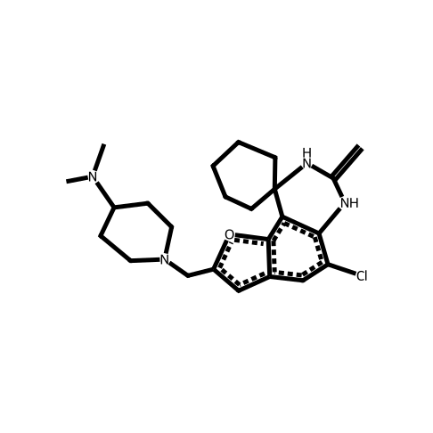 C=C1Nc2c(Cl)cc3cc(CN4CCC(N(C)C)CC4)oc3c2C2(CCCCC2)N1